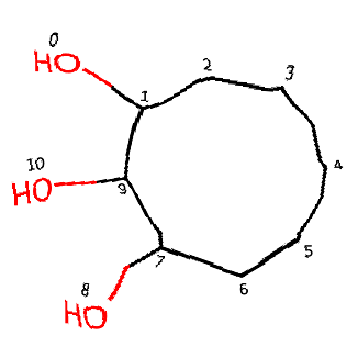 OC1CCCCCC(O)C1O